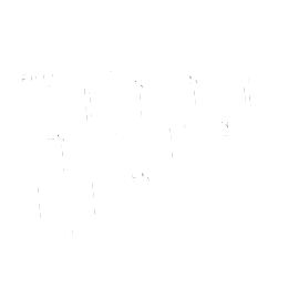 CCOC(=O)c1cnc(/C(C=N)=C2\N=CC=CN2)cc1NC1CCOCC1